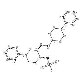 CS(=O)(=O)NC1CCN(c2ccccn2)C[C@H]1COC1CCC(c2ccncn2)CC1